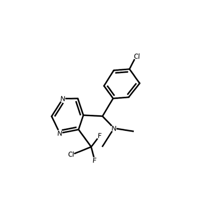 CN(C)C(c1ccc(Cl)cc1)c1cncnc1C(F)(F)Cl